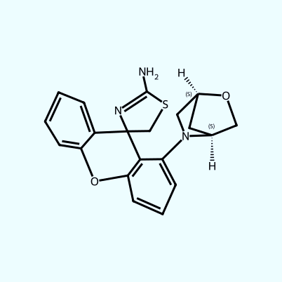 NC1=NC2(CS1)c1ccccc1Oc1cccc(N3C[C@@H]4C[C@H]3CO4)c12